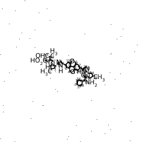 C[C@H]1C[C@@H](c2ncc(-c3cc4c5c(c3)OCc3cc(-c6cnc([C@@H]7C[C@H](C)CN7C(=O)[C@H](N)c7ccccc7)[nH]6)cc(c3-5)OC4)[nH]2)N(CC(NC(=O)O)[C@H](C)C=O)C1